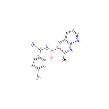 Cc1nc2ncccc2cc1C(=O)NC(C)c1ccc(C(C)(C)C)cc1